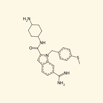 CSc1ccc(Cn2c(C(=O)NC3CCC(N)CC3)cc3ccc(C(=N)N)cc32)cc1